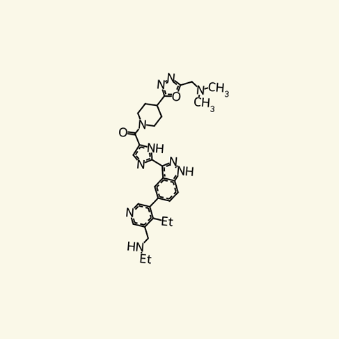 CCNCc1cncc(-c2ccc3[nH]nc(-c4ncc(C(=O)N5CCC(c6nnc(CN(C)C)o6)CC5)[nH]4)c3c2)c1CC